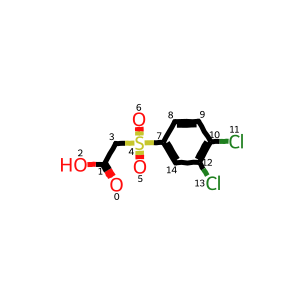 O=C(O)CS(=O)(=O)c1ccc(Cl)c(Cl)c1